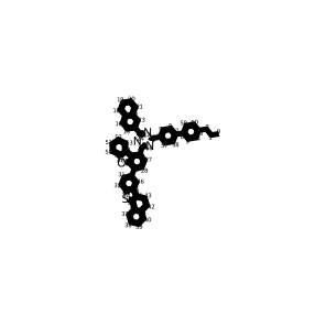 CCCc1ccc(-c2ccc(-c3nc(-c4ccc5ccccc5c4)nc(-c4ccc(-c5ccc6sc7c8ccccc8ccc7c6c5)c5oc6ccccc6c45)n3)cc2)cc1